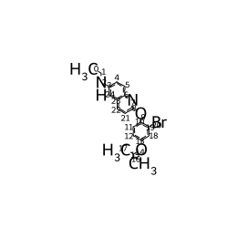 CCNc1ccc2nc(Oc3ccc(OC(C)C)cc3Br)ccc2c1